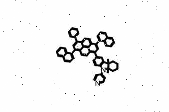 CC12CCCCC1(C)N(c1ccncc1)c1ccc(-c3cc(-c4cccc5ccccc45)c4ccc5c(-c6ccccc6)cc(-c6cccc7ccccc67)c6ccc3c4c56)cc12